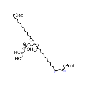 CCCCC/C=C\C/C=C\CCCCCCCCCC(=O)O[C@H](COCCCCCCCCCCCCCCCCCCCC)COP(=O)(O)OC[C@@H](O)CO